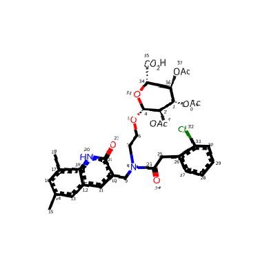 CC(=O)O[C@@H]1[C@@H](OC(C)=O)[C@H](OCCN(Cc2cc3cc(C)cc(C)c3[nH]c2=O)C(=O)Cc2ccccc2Cl)O[C@H](C(=O)O)[C@H]1OC(C)=O